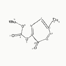 Cc1ccc(OC(=O)OC(C)(C)C)c(=O)cc1